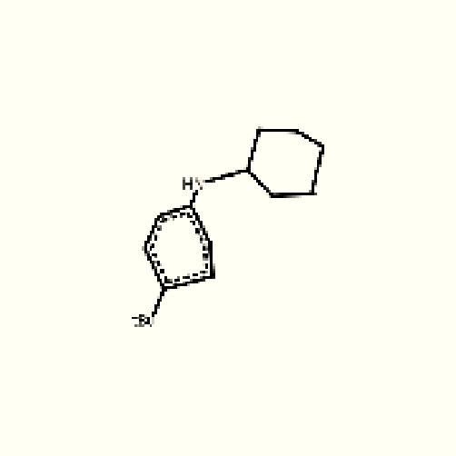 CC(C)(C)c1ccc(NC2C[CH]CCC2)cc1